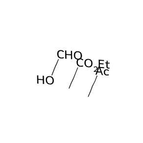 CC(C)=O.CCOC(C)=O.O=CO